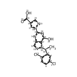 C[C@@H](c1cc(Cl)ccc1Cl)n1ncc2nc(-n3cc(C(=O)O)cn3)nc(O)c21